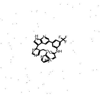 C=CC(=O)Nc1cc(-c2cnc3[nH]cc(-c4ncncc4COc4ccccn4)c3c2)cc(C(F)(F)F)c1